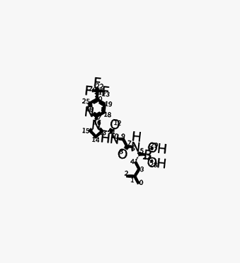 CC(C)CC[C@H](NC(=O)CNC(=O)[C@@H]1CCN1c1ccc(C(F)(F)F)cn1)B(O)O